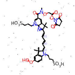 CN(OCC(=O)ON1C(=O)CCC1=O)C(=O)C1=CN(CCCS(=O)(=O)O)C2N=C(/C=C/C=C/C=C3/N(CCCS(=O)(=O)O)c4ccc(OO)cc4C3(C)C)C(C)(C)C2=C1